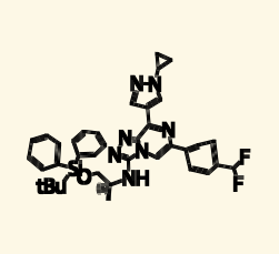 C[C@@H](CO[Si](c1ccccc1)(c1ccccc1)C(C)(C)C)Nc1nnc2c(-c3cnn(C4CC4)c3)nc(-c3ccc(C(F)F)cc3)cn12